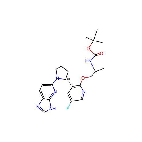 CC(COc1ncc(F)cc1[C@H]1CCCN1c1ccc2nc[nH]c2n1)NC(=O)OC(C)(C)C